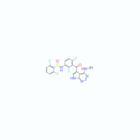 CC(C)Nc1ncnc2[nH]cc(C(=O)c3c(F)ccc(N[S+]([O-])c4c(F)cccc4F)c3F)c12